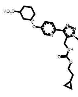 Cn1nnc(-c2ccc(O[C@H]3CCCC(C(=O)O)C3)cn2)c1CNC(=O)OCCC1CC1